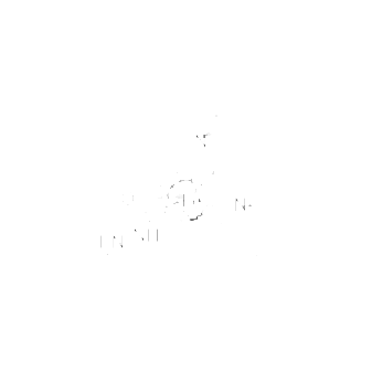 NNC(=O)[C]12[CH]3[C]4(c5ccccn5)[C]5(c6ccccn6)[CH]1[Fe]32451678[CH]2[CH]1[CH]6[CH]7[CH]28